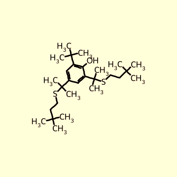 CC(C)(C)CCSC(C)(C)c1cc(C(C)(C)C)c(O)c(C(C)(C)SCCC(C)(C)C)c1